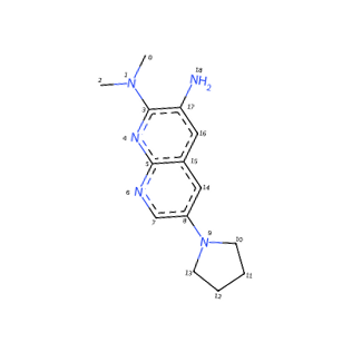 CN(C)c1nc2ncc(N3CCCC3)cc2cc1N